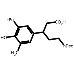 CCCCCCCCCCCCC(CC(=O)O)c1cc(C)c(O)c(C(C)(C)C)c1